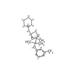 CC(C)(Oc1cccc(C(F)(F)F)c1)C1(C)OCC(CN2CCCCC2)O1